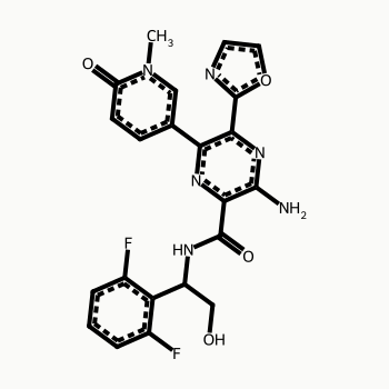 Cn1cc(-c2nc(C(=O)NC(CO)c3c(F)cccc3F)c(N)nc2-c2ncco2)ccc1=O